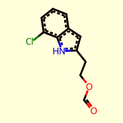 O=COCCc1cc2cccc(Cl)c2[nH]1